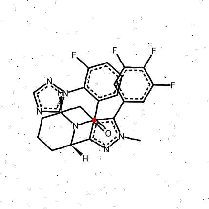 Cn1nc2c(c1-c1cc(F)c(F)c(F)c1)C[C@H]1CCC[C@@H]2N1C(=O)c1cccc(F)c1-n1cncn1